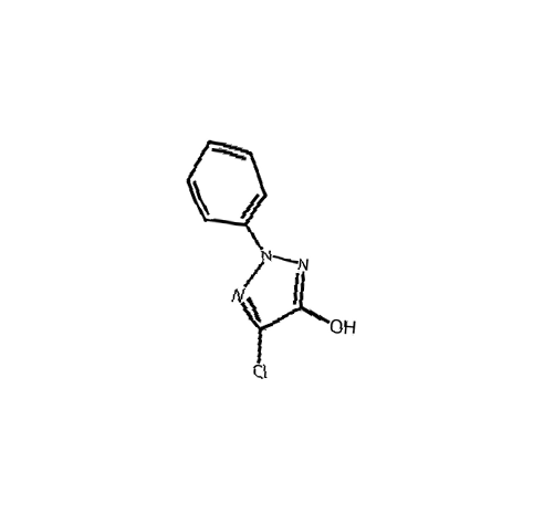 Oc1nn(-c2ccccc2)nc1Cl